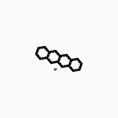 [H+].c1ccc2cc3cc4ccccc4cc3cc2c1